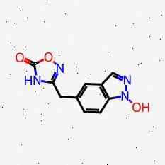 O=c1[nH]c(Cc2ccc3c(cnn3O)c2)no1